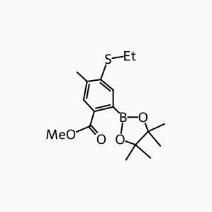 CCSc1cc(B2OC(C)(C)C(C)(C)O2)c(C(=O)OC)cc1C